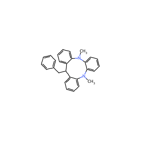 CN1c2ccccc2C(Cc2ccccc2)c2ccccc2N(C)c2ccccc21